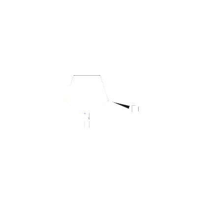 CC[C@@H]1CCSN1